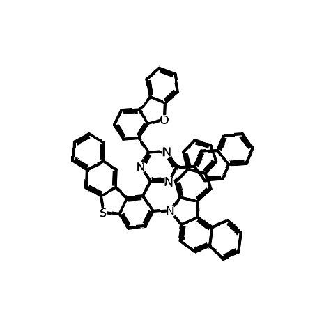 c1ccc2cc(-c3nc(-c4cccc5c4oc4ccccc45)nc(-c4c(-n5c6cc7ccccc7cc6c6c7ccccc7ccc65)ccc5sc6cc7ccccc7cc6c45)n3)ccc2c1